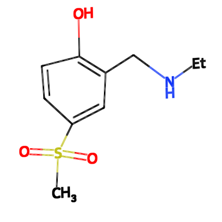 CCNCc1cc(S(C)(=O)=O)ccc1O